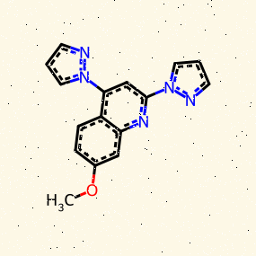 COc1ccc2c(-n3cccn3)cc(-n3cccn3)nc2c1